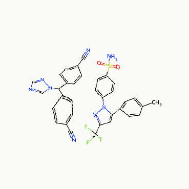 Cc1ccc(-c2cc(C(F)(F)F)nn2-c2ccc(S(N)(=O)=O)cc2)cc1.N#Cc1ccc(C(c2ccc(C#N)cc2)n2cncn2)cc1